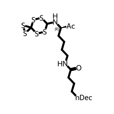 CCCCCCCCCCCCCC(=O)NCCCC[C@@H](NC1SSC2(SS1)SS2)C(C)=O